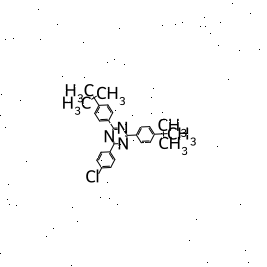 CC(C)(C)c1ccc(-c2nc(-c3ccc(Cl)cc3)nc(-c3ccc(C(C)(C)C)cc3)n2)cc1